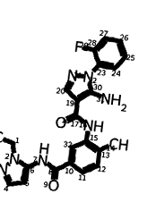 CCn1nccc1NC(=O)c1ccc(C)c(NC(=O)c2cnn(-c3ccccc3F)c2N)c1